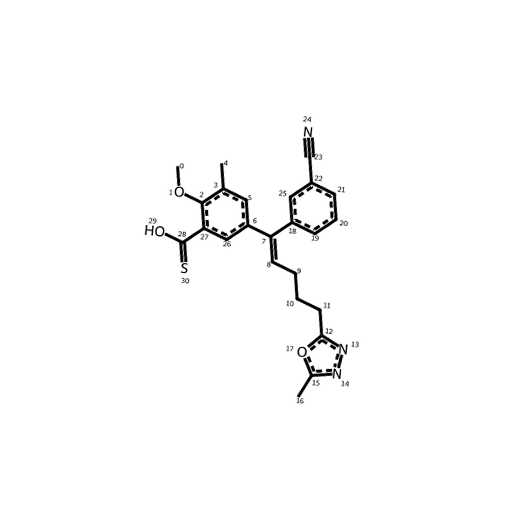 COc1c(C)cc(C(=CCCCc2nnc(C)o2)c2cccc(C#N)c2)cc1C(O)=S